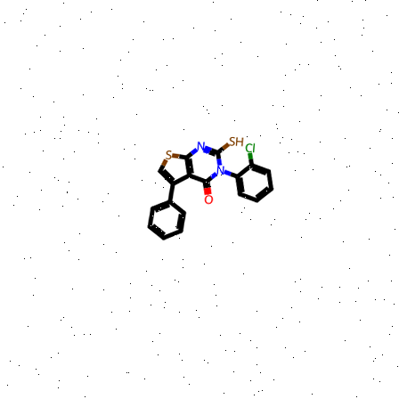 O=c1c2c(-c3ccccc3)csc2nc(S)n1-c1ccccc1Cl